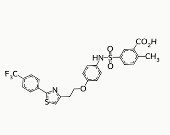 Cc1ccc(S(=O)(=O)Nc2ccc(OCCc3csc(-c4ccc(C(F)(F)F)cc4)n3)cc2)cc1C(=O)O